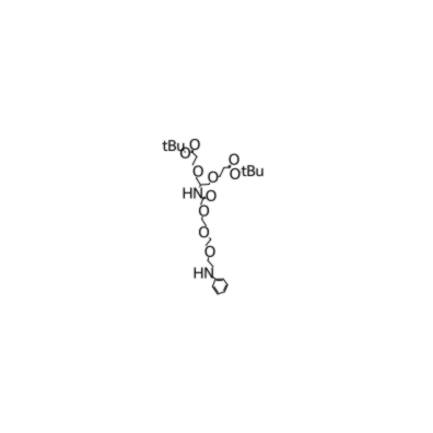 CC(C)(C)OC(=O)CCOCC(COCCC(=O)OC(C)(C)C)NC(=O)COCCOCCOCCNc1ccccc1